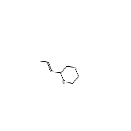 CC=CC1CCCCO1